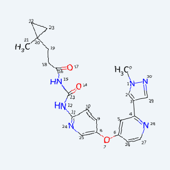 Cn1cc(-c2cc(Oc3ccc(NC(=O)NC(=O)CCC4(C)CC4)nc3)ccn2)cn1